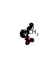 CC1=C(c2ccc3c(c2)oc2ccccc23)N=C(c2cccc3sc4ccc(-c5ccc6c(c5)c5ccccc5n6-c5ccccc5)cc4c23)NC(c2ccccc2)C1